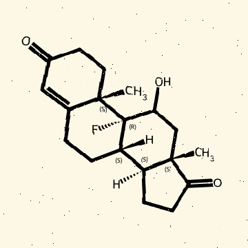 C[C@]12CCC(=O)C=C1CC[C@H]1[C@@H]3CCC(=O)[C@@]3(C)CC(O)[C@@]12F